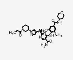 C=CC(=O)N1CCC[C@@H](n2cc(Nc3ncc(C(N)=O)c(Nc4c(C)cc(C(=O)NC5CCOCC5)cc4OC)n3)cn2)C1